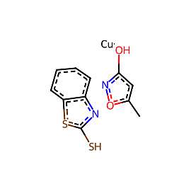 Cc1cc(O)no1.Sc1nc2ccccc2s1.[Cu]